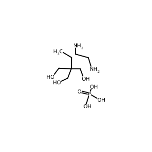 CCC(CO)(CO)CO.NCCN.O=P(O)(O)O